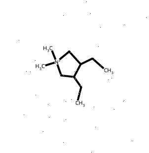 CCC1C[N+](C)(C)CC1CC